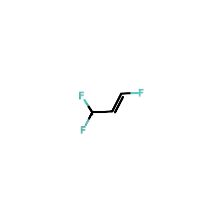 FC=C[C](F)F